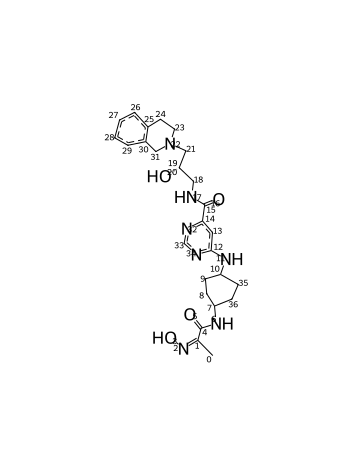 C/C(=N/O)C(=O)NC1CCC(Nc2cc(C(=O)NC[C@H](O)CN3CCc4ccccc4C3)ncn2)CC1